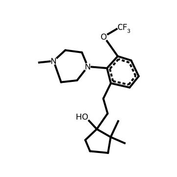 CN1CCN(c2c(CCC3(O)CCCC3(C)C)cccc2OC(F)(F)F)CC1